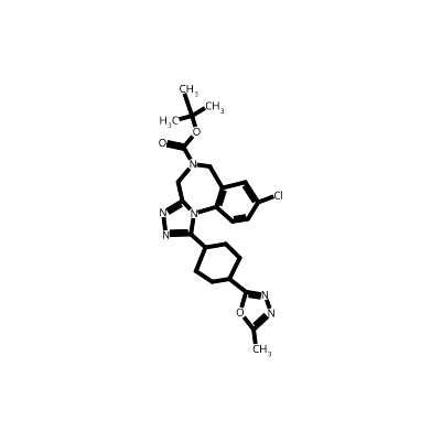 Cc1nnc(C2CCC(c3nnc4n3-c3ccc(Cl)cc3CN(C(=O)OC(C)(C)C)C4)CC2)o1